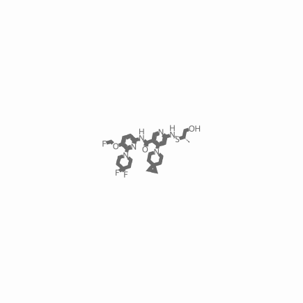 C[C@@H](CO)SNc1cc(N2CCC3(CC2)CC3)c(C(=O)Nc2ccc(OCF)c(N3CCC(F)(F)CC3)n2)cn1